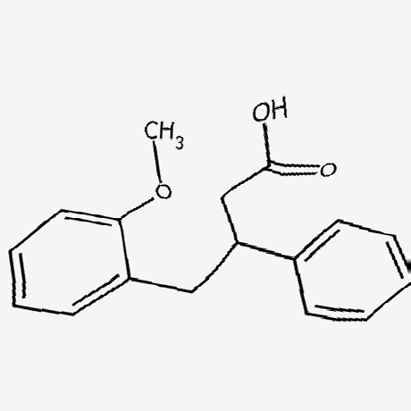 COc1ccccc1CC(CC(=O)O)c1ccccc1